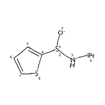 CC(C)N[S+]([O-])c1cccs1